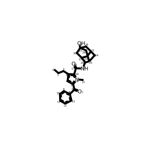 CCCc1cc(C(=O)c2ccccc2)n(C)c1C(=O)NC1C2CC3CC1CC(O)(C3)C2